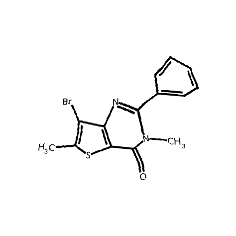 Cc1sc2c(=O)n(C)c(-c3ccccc3)nc2c1Br